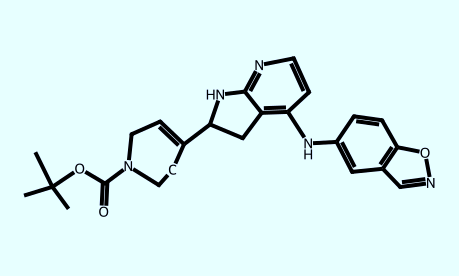 CC(C)(C)OC(=O)N1CC=C(C2Cc3c(Nc4ccc5oncc5c4)ccnc3N2)CC1